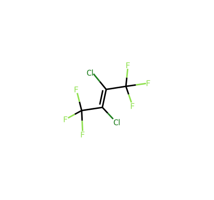 FC(F)(F)/C(Cl)=C(\Cl)C(F)(F)F